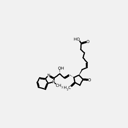 C=C1CC(=O)[C@H](C/C=C\CCCC(=O)O)[C@H]1/C=C/[C@@H](O)c1nc2ccccc2n1C